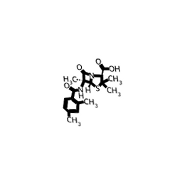 Cc1ccc(C(=O)N[C@@]2(C)C(=O)N3[C@@H](C(=O)O)C(C)(C)S[C@@H]32)c(C)c1